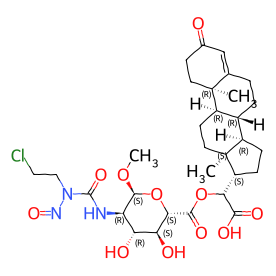 CO[C@H]1O[C@H](C(=O)OC(C(=O)O)[C@H]2CC[C@@H]3[C@H]4CCC5=CC(=O)CC[C@]5(C)[C@@H]4CC[C@]23C)[C@@H](O)[C@H](O)[C@H]1NC(=O)N(CCCl)N=O